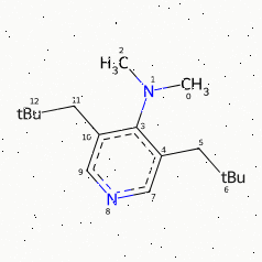 CN(C)c1c(CC(C)(C)C)cncc1CC(C)(C)C